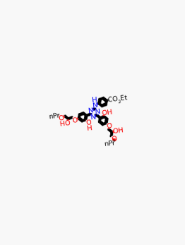 CCCOCC(O)COc1ccc(-c2nc(Nc3ccc(C(=O)OCC)cc3)nc(-c3ccc(OCC(O)COCCC)cc3O)n2)c(O)c1